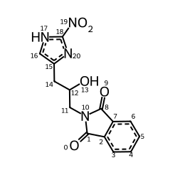 O=C1c2ccccc2C(=O)N1CC(O)Cc1c[nH]c([N+](=O)[O-])n1